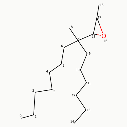 CCCCCCCC(C)(CCCCCC)C1OC1C